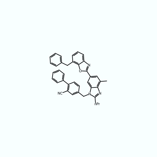 CCCc1nc2c(C)cc(-c3nc4cccc(Cc5ccccc5)c4o3)cc2n1Cc1ccc(-c2ccccc2)c(C#N)c1